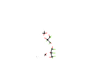 COC1(C(F)(F)F)OC(F)(F)C(F)(C(F)(F)OC(F)(F)C2(F)OC(C)(C(F)(F)F)OC2(F)F)O1